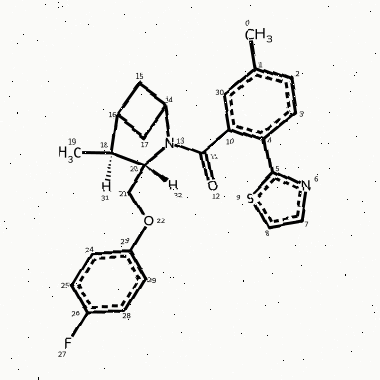 Cc1ccc(-c2nccs2)c(C(=O)N2C3CC(C3)[C@H](C)[C@H]2COc2ccc(F)cc2)c1